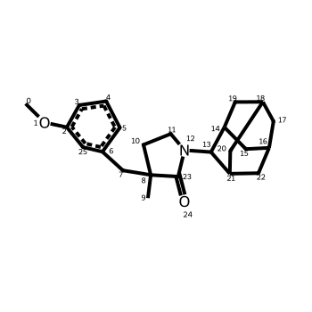 COc1cccc(CC2(C)CCN(C3C4CC5CC(C4)CC3C5)C2=O)c1